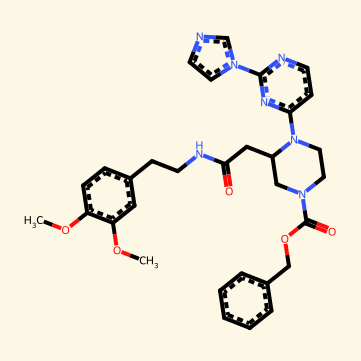 COc1ccc(CCNC(=O)CC2CN(C(=O)OCc3ccccc3)CCN2c2ccnc(-n3ccnc3)n2)cc1OC